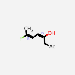 CC(=O)C/C(O)=C\C=C(/C)F